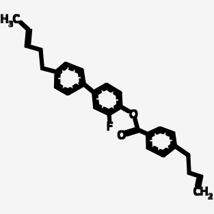 C=CCCc1ccc(C(=O)Oc2ccc(-c3ccc(CC/C=C/C)cc3)cc2F)cc1